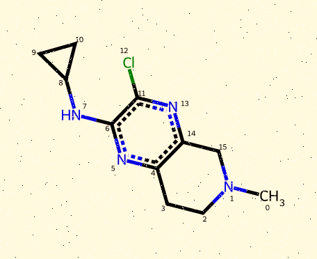 CN1CCc2nc(NC3CC3)c(Cl)nc2C1